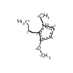 CCc1c(OC)cnn1C